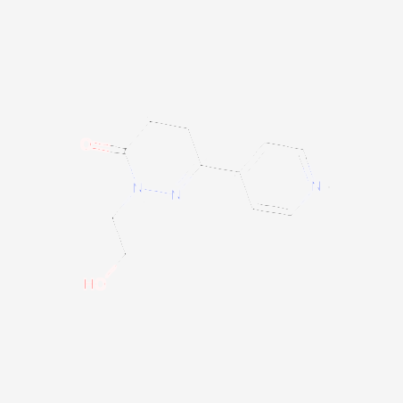 O=C1CCC(c2ccncc2)=NN1CCO